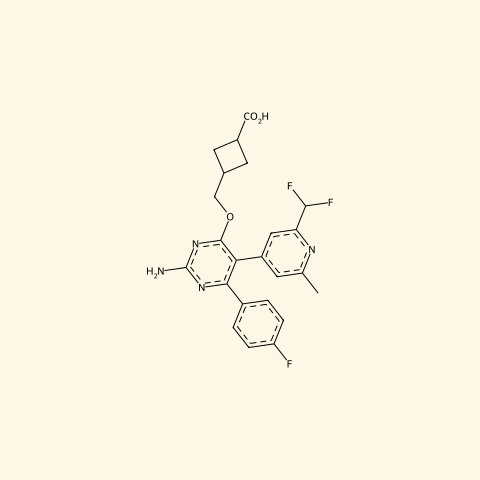 Cc1cc(-c2c(OCC3CC(C(=O)O)C3)nc(N)nc2-c2ccc(F)cc2)cc(C(F)F)n1